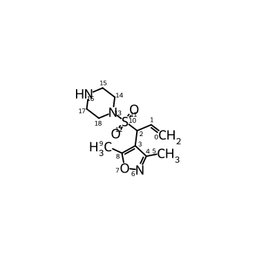 C=CC(c1c(C)noc1C)S(=O)(=O)N1CCNCC1